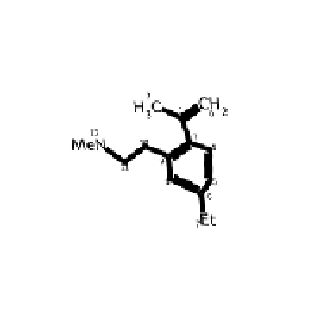 C=C(C)c1ccc(CC)cc1CCNC